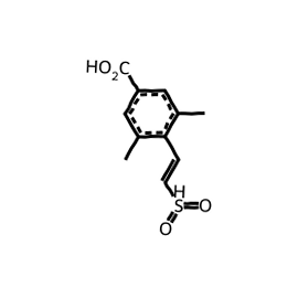 Cc1cc(C(=O)O)cc(C)c1/C=C/[SH](=O)=O